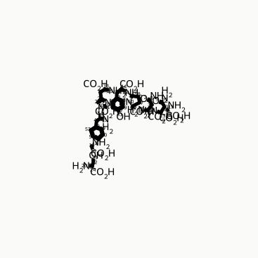 NC(=O)C[C@H](N)C(=O)O.NC(=O)C[C@H](N)C(=O)O.NCC(=O)O.NCC(=O)O.N[C@@H](CO)C(=O)O.N[C@@H](Cc1c[nH]cn1)C(=O)O.N[C@@H](Cc1ccc(O)cc1)C(=O)O.N[C@@H](Cc1ccccc1)C(=O)O.O=C(O)[C@@H]1CCCN1